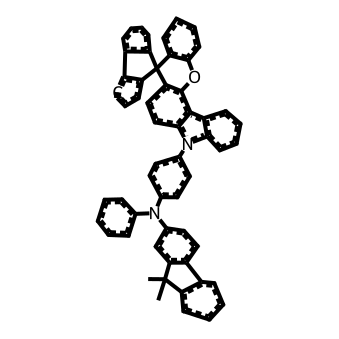 CC1(C)c2ccccc2-c2ccc(N(c3ccccc3)c3ccc(-n4c5ccccc5c5c6c(ccc54)C4(c5ccccc5O6)c5ccccc5-c5ccccc54)cc3)cc21